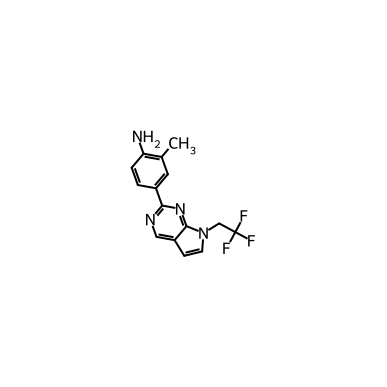 Cc1cc(-c2ncc3ccn(CC(F)(F)F)c3n2)ccc1N